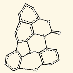 O=C1Oc2cccc3cc4c5c(c23)N1c1cccc2c1B5c1c(cccc1-4)O2